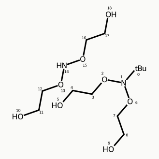 CC(C)(C)N(OCCO)OCCO.OCCONOCCO